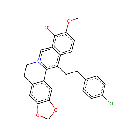 COc1ccc2c(CCc3ccc(Cl)cc3)c3[n+](cc2c1[O-])CCc1cc2c(cc1-3)OCO2